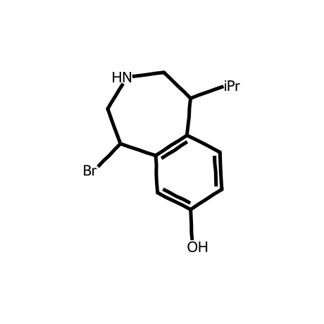 CC(C)C1CNCC(Br)c2cc(O)ccc21